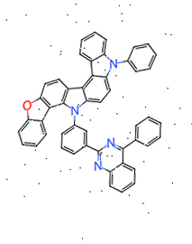 c1ccc(-c2nc(-c3cccc(-n4c5ccc6c(c7ccccc7n6-c6ccccc6)c5c5ccc6oc7ccccc7c6c54)c3)nc3ccccc23)cc1